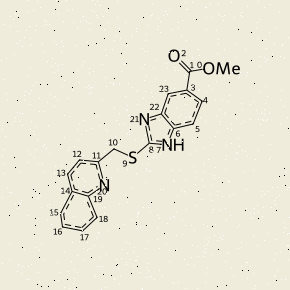 COC(=O)c1ccc2[nH]c(SCc3ccc4ccccc4n3)nc2c1